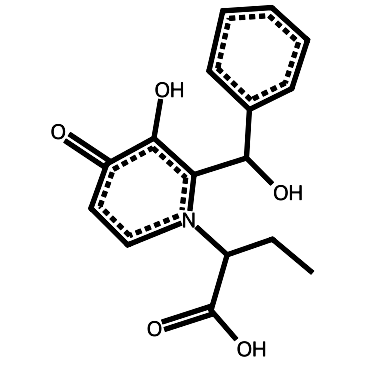 CCC(C(=O)O)n1ccc(=O)c(O)c1C(O)c1ccccc1